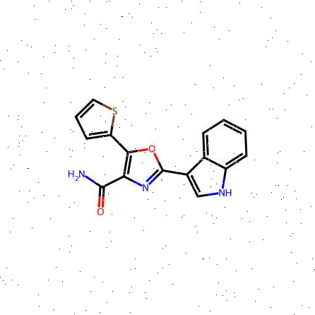 NC(=O)c1nc(-c2c[nH]c3ccccc23)oc1-c1cccs1